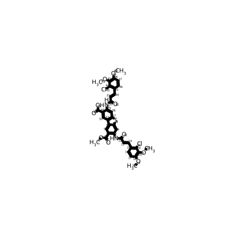 COC(=O)c1cc2c(cc1NC(=O)C=Cc1ccc(OC)c(OC)c1Cl)sc1cc(NC(=O)C=Cc3ccc(OC)c(OC)c3Cl)c(C(=O)O)cc12